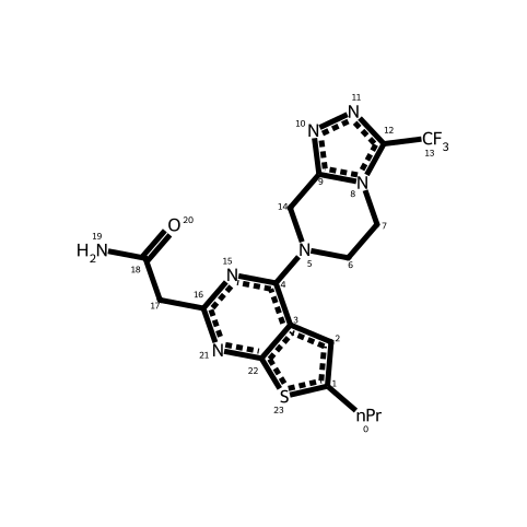 CCCc1cc2c(N3CCn4c(nnc4C(F)(F)F)C3)nc(CC(N)=O)nc2s1